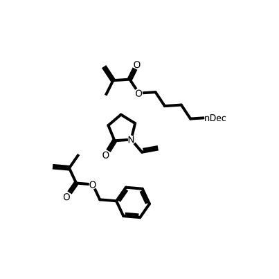 C=C(C)C(=O)OCCCCCCCCCCCCCC.C=C(C)C(=O)OCc1ccccc1.C=CN1CCCC1=O